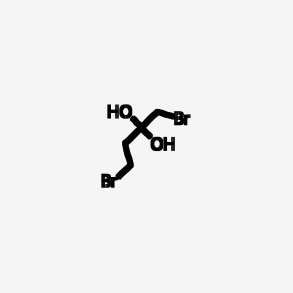 OC(O)(CBr)CCBr